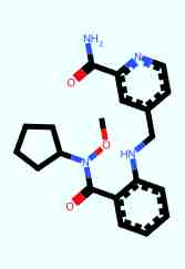 CON(C(=O)c1ccccc1NCc1ccnc(C(N)=O)c1)C1CCCC1